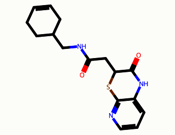 O=C(CC1Sc2ncccc2NC1=O)NCC1CC=CCC1